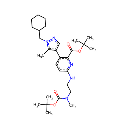 Cc1c(-c2ccc(NCCN(C)C(=O)OC(C)(C)C)nc2C(=O)OC(C)(C)C)cnn1CC1CCCCC1